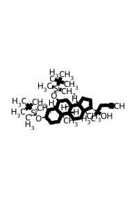 C#CCC(C)(O)[C@H]1CC[C@H]2[C@@H]3C[C@H](O[Si](C)(C)C(C)(C)C)[C@H]4C[C@@H](O[Si](C)(C)C(C)(C)C)CC[C@]4(C)[C@H]3CC[C@]12C